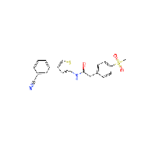 CS(=O)(=O)c1ccc(CC(=O)Nc2cc(-c3cccc(C#N)c3)cs2)cc1